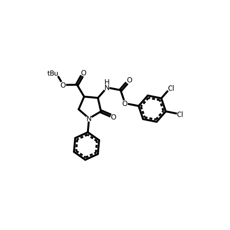 CC(C)(C)OC(=O)C1CN(c2ccccc2)C(=O)C1NC(=O)Oc1ccc(Cl)c(Cl)c1